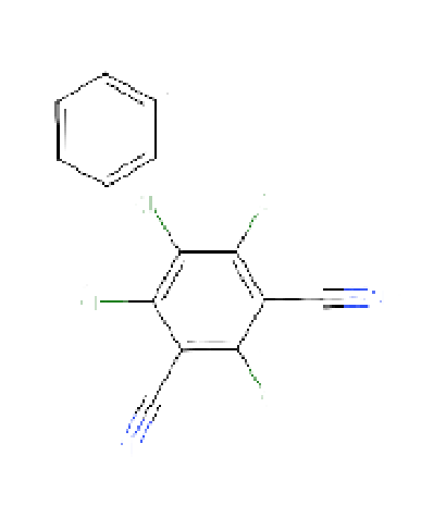 N#Cc1c(Cl)c(Cl)c(Cl)c(C#N)c1Cl.c1ccccc1